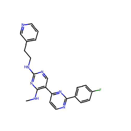 CNc1nc(NCCc2cccnc2)ncc1-c1ccnc(-c2ccc(F)cc2)n1